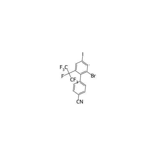 N#Cc1ccc(-c2c(Br)[c]c(I)cc2C(F)(C(F)(F)F)C(F)(F)F)cc1